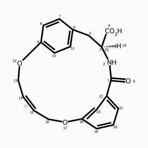 O=C1N[C@H](C(=O)O)Cc2ccc(cc2)OC/C=C\COc2cccc1c2